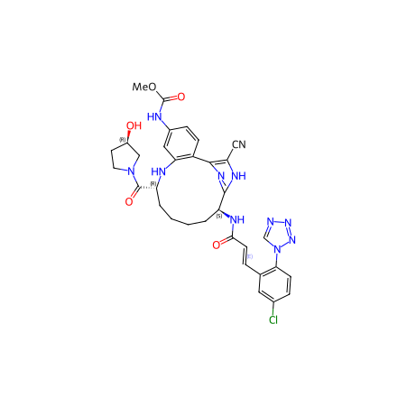 COC(=O)Nc1ccc2c(c1)N[C@@H](C(=O)N1CC[C@@H](O)C1)CCCC[C@H](NC(=O)/C=C/c1cc(Cl)ccc1-n1cnnn1)c1nc-2c(C#N)[nH]1